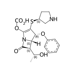 C[C@@H](O)[C@H]1C(=O)N2C(OC(=O)O)=C(S[C@H]3CCNC3)[C@H](Oc3ccccc3)[C@H]12